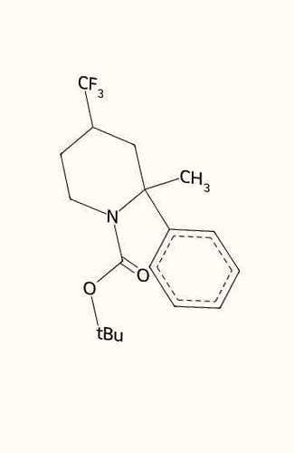 CC(C)(C)OC(=O)N1CCC(C(F)(F)F)CC1(C)c1ccccc1